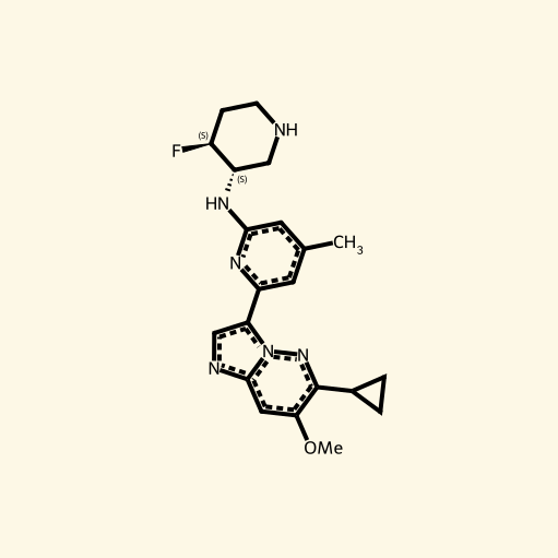 COc1cc2ncc(-c3cc(C)cc(N[C@H]4CNCC[C@@H]4F)n3)n2nc1C1CC1